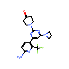 Nc1ccc(-c2cc(N3CCC3)nc(N3CCC(=O)CC3)n2)c(C(F)(F)F)n1